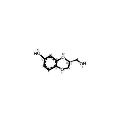 OC[C@H]1COc2ccc(O)cc2O1